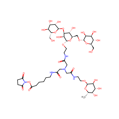 C[C@@H]1O[C@@H](OCCNC(=O)CN(CC(=O)NCCCCCC(=O)ON2C(=O)CCC2=O)CC(=O)NCCO[C@H]2O[C@H](CO[C@H]3O[C@H](CO)[C@@H](O)[C@H](O)[C@@H]3O)[C@@H](O)[C@H](O[C@H]3O[C@H](CO)[C@@H](O)[C@H](O)[C@@H]3O)[C@@H]2O)[C@@H](O)[C@H](O)[C@@H]1O